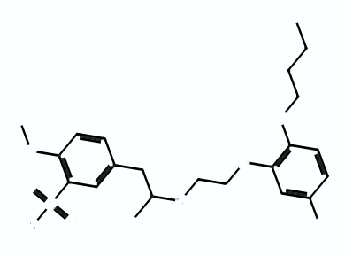 CCCCOc1ccc(F)cc1OCCNC(C)Cc1ccc(OC)c(S(N)(=O)=O)c1